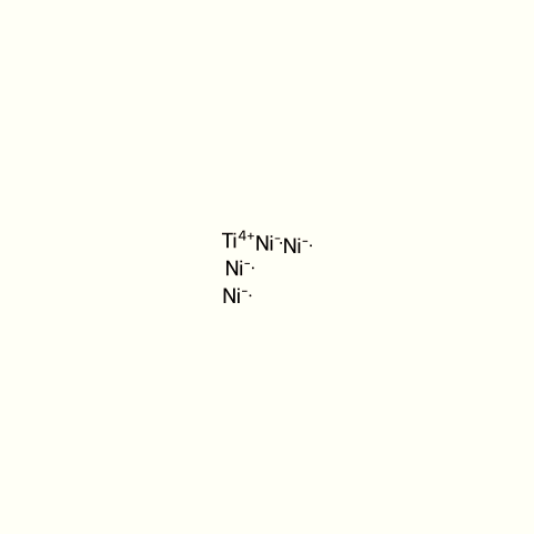 [Ni-].[Ni-].[Ni-].[Ni-].[Ti+4]